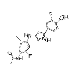 CC(=O)Nc1cc(C)c(Nc2cc(-c3ccc(O)c(F)c3)[nH]n2)cc1F